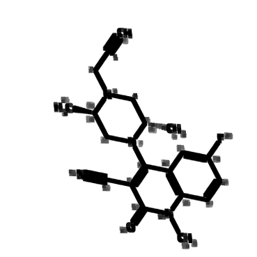 C#CCN1C[C@H](C)N(c2c(C#N)c(=O)n(C)c3ccc(F)cc23)C[C@H]1C